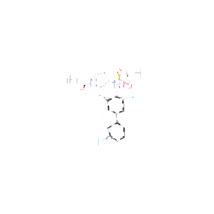 CC(C)C(=O)N1CC[C@@H](NS(C)(=O)=O)[C@H]1Cc1cc(F)cc(-c2cccc(F)c2)c1